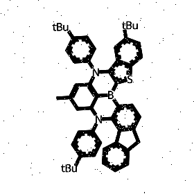 CC1=CC2=C3B(c4ccc5c(c4N(c4ccc(C(C)(C)C)cc4)C3C1)-c1ccccc1C5)c1sc3ccc(C(C)(C)C)cc3c1N2c1ccc(C(C)(C)C)cc1